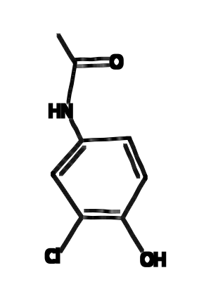 CC(=O)Nc1ccc(O)c(Cl)c1